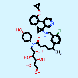 CC(CCCC(=O)N(C[C@@H](O)[C@H](O)[C@@H](O)[C@@H](O)CO)[C@H]1CC[C@H](O)CC1)c1ccc(Cl)c(CNC2(c3cnccc3-c3ccccc3OC3CC3)CC2)c1